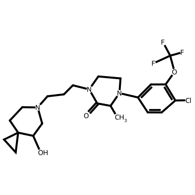 CC1C(=O)N(CCCN2CCC3(CC3)C(O)C2)CCN1c1ccc(Cl)c(OC(F)(F)F)c1